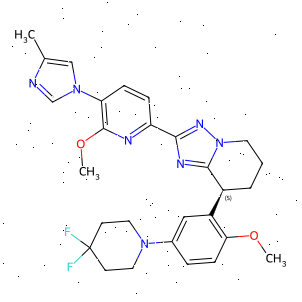 COc1ccc(N2CCC(F)(F)CC2)cc1[C@@H]1CCCn2nc(-c3ccc(-n4cnc(C)c4)c(OC)n3)nc21